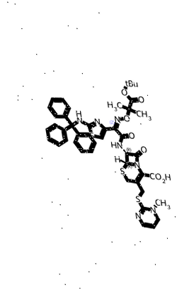 CN1CC=CN=C1SCC1=C(C(=O)O)N2C(=O)[C@@H](NC(=O)/C(=N\OC(C)(C)C(=O)OC(C)(C)C)c3csc(NC(c4ccccc4)(c4ccccc4)c4ccccc4)n3)[C@H]2SC1